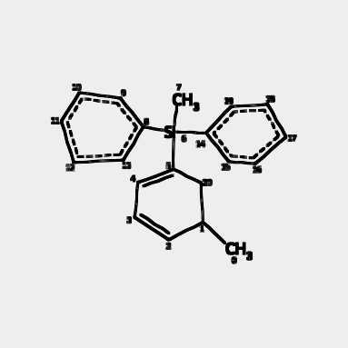 CC1C=CC=C([Si](C)(c2ccccc2)c2ccccc2)C1